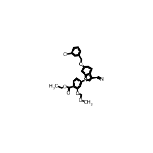 CCOC(=O)c1ccc(-n2cc(C#N)c3ccc(OCc4cccc(Cl)c4)cc32)cc1OCOC